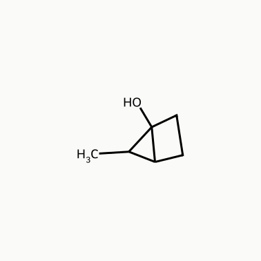 CC1C2CCC12O